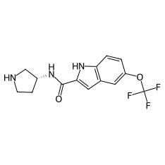 O=C(N[C@@H]1CCNC1)c1cc2cc(OC(F)(F)F)ccc2[nH]1